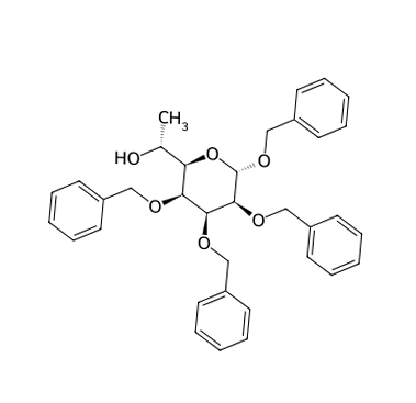 C[C@@H](O)[C@H]1O[C@H](OCc2ccccc2)[C@@H](OCc2ccccc2)[C@@H](OCc2ccccc2)[C@H]1OCc1ccccc1